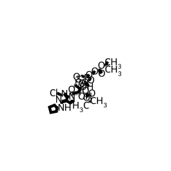 CC(C)OC(=O)OCOP(=O)(CS(=O)(=O)C[C@H]1O[C@@H](n2ccc3c(NC4CCCC4)nc(Cl)nc32)[C@H](O)[C@@H]1O)OCOC(=O)OC(C)C